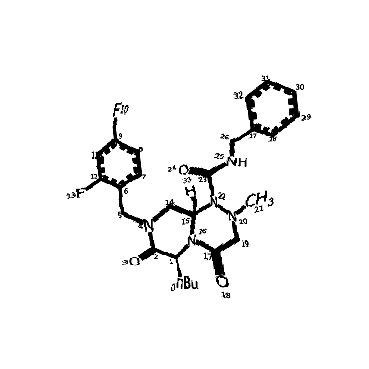 CCCC[C@H]1C(=O)N(Cc2ccc(F)cc2F)C[C@H]2N1C(=O)CN(C)N2C(=O)NCc1ccccc1